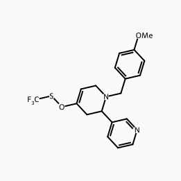 COc1ccc(CN2CC=C(OSC(F)(F)F)CC2c2cccnc2)cc1